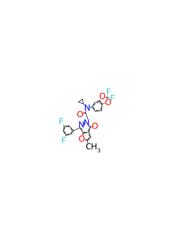 Cc1cc2c(=O)n(CC(=O)N(c3ccc4c(c3)OC(F)(F)O4)C3CC3)nc(-c3cc(F)cc(F)c3)c2o1